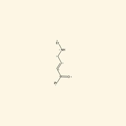 CCNC/C=C/C(=O)C(C)C